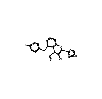 O=CC1C(O)=C(c2nc[nH]n2)Oc2cccc(Cc3ccc(F)cc3)c21